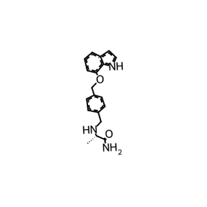 C[C@H](NCc1ccc(COc2cccc3cc[nH]c23)cc1)C(N)=O